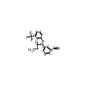 CCC(=O)N(Cc1cccc(C(F)(F)F)c1)c1cccc(C#N)c1